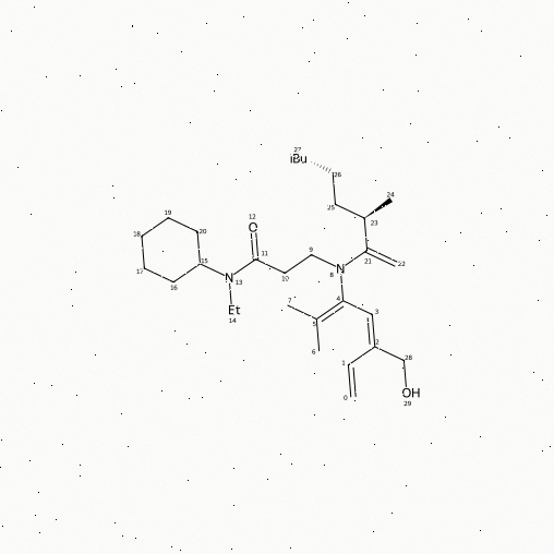 C=C/C(=C\C(=C(C)C)N(CCC(=O)N(CC)C1CCCCC1)C(=C)[C@H](C)CC[C@@H](C)CC)CO